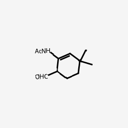 CC(=O)NC1=CC(C)(C)CCC1C=O